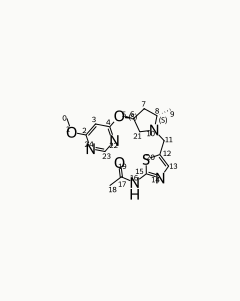 COc1cc(O[C@H]2C[C@H](C)N(Cc3cnc(NC(C)=O)s3)C2)ncn1